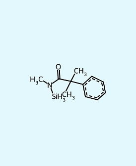 CN([SiH3])C(=O)C(C)(C)c1ccccc1